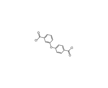 O=C(Cl)c1ccc(Oc2cccc(C(=O)Cl)c2)cc1